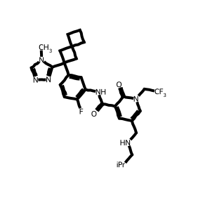 CC(C)CNCc1cc(C(=O)Nc2cc(C3(c4nncn4C)CC4(CCC4)C3)ccc2F)c(=O)n(CC(F)(F)F)c1